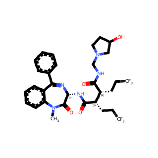 CN1C(=O)[C@@H](NC(=O)[C@@H](CCC(F)(F)F)[C@@H](CCC(F)(F)F)C(=O)NCN2CCC(O)C2)N=C(c2ccccc2)c2ccccc21